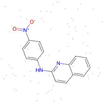 O=[N+]([O-])c1ccc(Nc2ccc3ccccc3n2)cc1